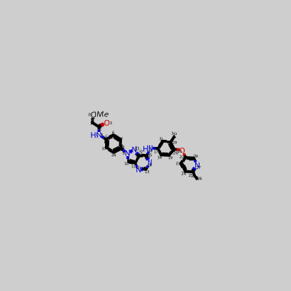 COCC(=O)Nc1ccc(-n2cc3ncnc(Nc4ccc(Oc5ccc(C)nc5)c(C)c4)c3n2)cc1